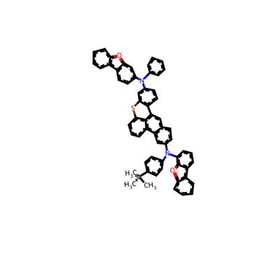 C[Si](C)(C)c1ccc(N(c2ccc3cc4c5c(cccc5c3c2)Sc2cc(N(c3ccccc3)c3ccc5c(c3)oc3ccccc35)ccc2-4)c2cccc3c2oc2ccccc23)cc1